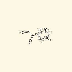 O=CC(=O)[13CH]1[13CH]=[13CH][13CH]=[13CH][13CH2]1